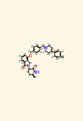 C=C1CC[C@H](N2Cc3c(OCc4ccc(CN5CCC(c6ccc(F)cc6)CC5)cc4)cccc3C2=O)C(=O)N1